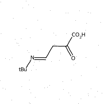 CC(C)(C)N=CCC(=O)C(=O)O